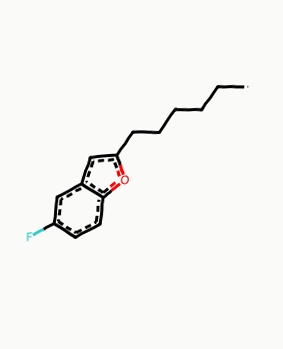 [CH2]CCCCCc1cc2cc(F)ccc2o1